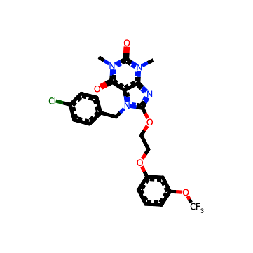 Cn1c(=O)c2c(nc(OCCOc3cccc(OC(F)(F)F)c3)n2Cc2ccc(Cl)cc2)n(C)c1=O